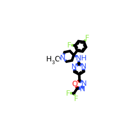 CN1CCC(Nc2ncc(-c3nnc(C(F)F)o3)cn2)(c2ccc(F)cc2F)CC1